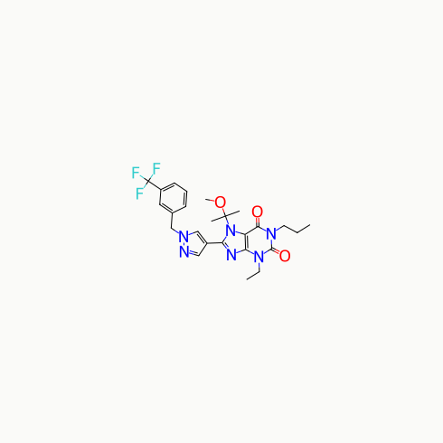 CCCn1c(=O)c2c(nc(-c3cnn(Cc4cccc(C(F)(F)F)c4)c3)n2C(C)(C)OC)n(CC)c1=O